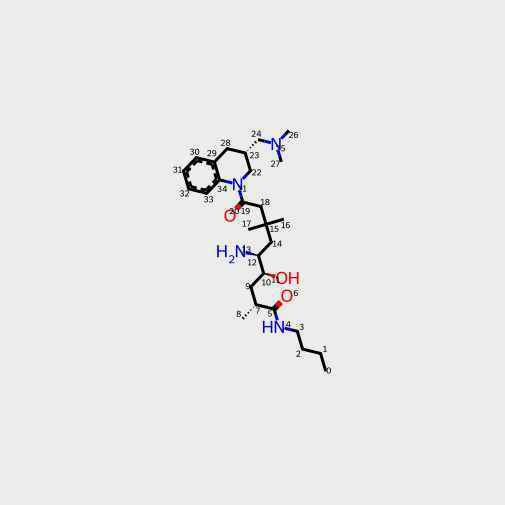 CCCCNC(=O)[C@H](C)C[C@H](O)[C@@H](N)CC(C)(C)CC(=O)N1C[C@@H](CN(C)C)Cc2ccccc21